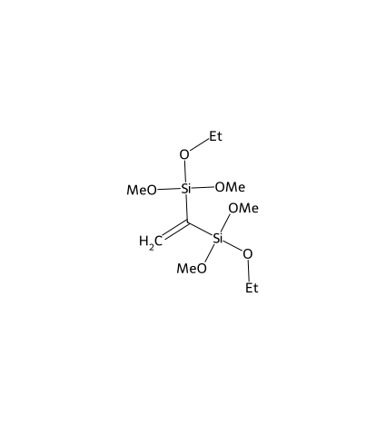 C=C([Si](OC)(OC)OCC)[Si](OC)(OC)OCC